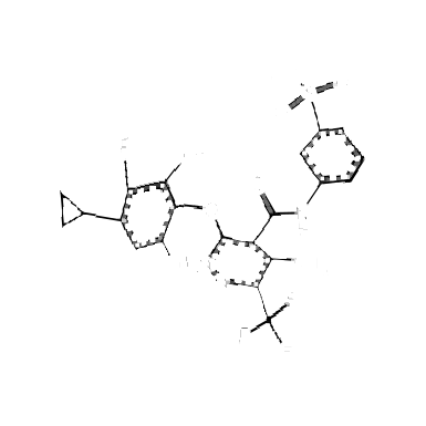 Cc1cc(C2CC2)c(F)c(C)c1Oc1nnc(C(F)(F)F)c(C)c1C(=O)Nc1cccc(S(C)(=O)=O)c1